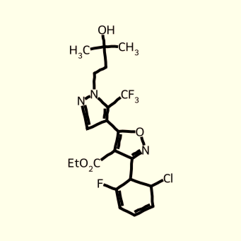 CCOC(=O)c1c(C2C(F)=CC=CC2Cl)noc1-c1cnn(CCC(C)(C)O)c1C(F)(F)F